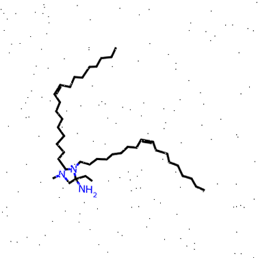 CCCCCCCC/C=C\CCCCCCCCC1N(C)CC(N)(CC)N1CCCCCCCC/C=C\CCCCCCCC